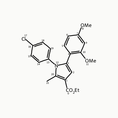 CCOC(=O)c1cc(-c2ccc(OC)cc2OC)n(-c2ccc(Cl)cc2)c1C